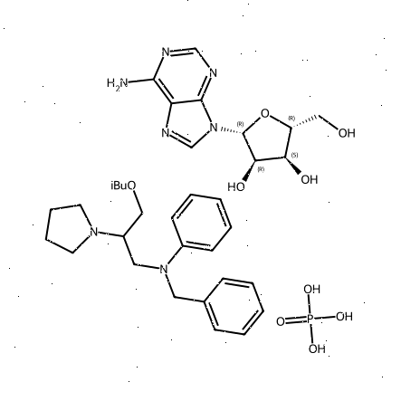 CC(C)COCC(CN(Cc1ccccc1)c1ccccc1)N1CCCC1.Nc1ncnc2c1ncn2[C@@H]1O[C@H](CO)[C@@H](O)[C@H]1O.O=P(O)(O)O